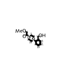 COCC(=O)N1CCN(c2cc[c]cc2CO)CC1